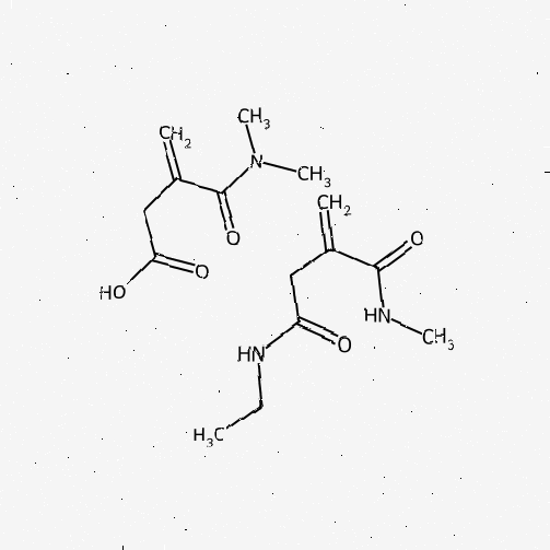 C=C(CC(=O)NCC)C(=O)NC.C=C(CC(=O)O)C(=O)N(C)C